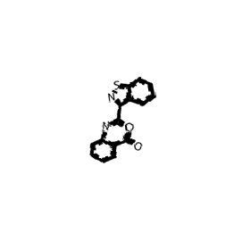 O=c1oc(-c2nsc3ccccc23)nc2ccccc12